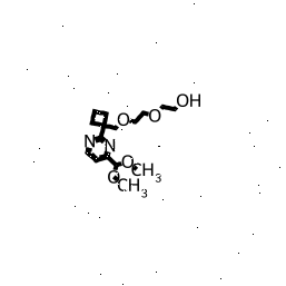 COC(OC)c1ccnc(C2(COCCOCCO)CCC2)n1